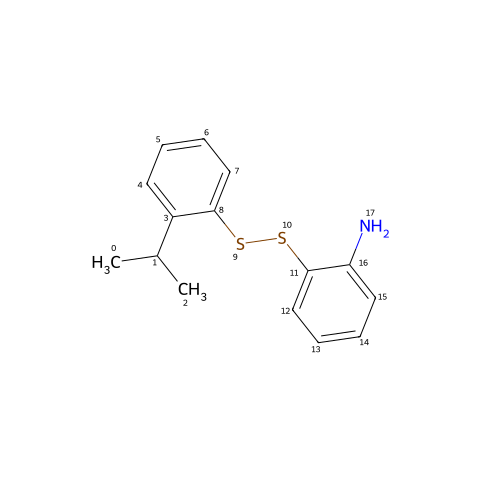 CC(C)c1ccccc1SSc1ccccc1N